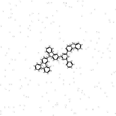 c1ccc(-c2nc(-c3ccc4sc5ccccc5c4c3)nc(-c3ccc4c(c3)c3ccccc3n4-c3ccc4c5ccccc5c5ccccc5c4c3)n2)cc1